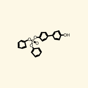 O=P(Oc1ccccc1)(Oc1ccccc1)Oc1ccc(-c2ccc(O)cc2)cc1